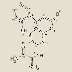 C=C(Nc1ccc2c(-c3ccccc3C)cc(=O)oc2c1)C(N)=O